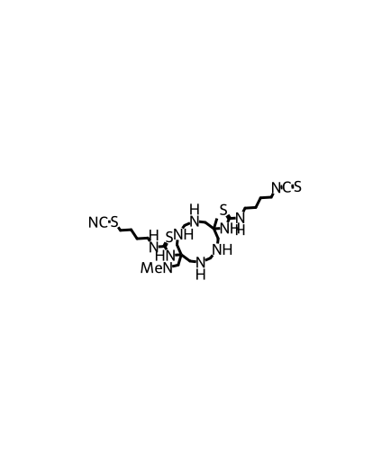 CNCC1(NC(=S)NCCCCSC#N)CNCNCC(C)(NC(=S)NCCCCN=C=S)CNCNC1